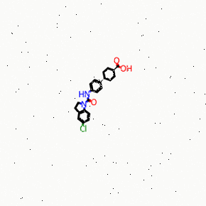 O=C(Nc1ccc([C@H]2CC[C@H](C(=O)O)CC2)cc1)N1CCc2cc(Cl)ccc21